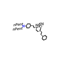 CCCCCN(CCCCC)c1ccc(C=CC2([N+](=O)[O-])C=CC(C=Cc3ccccc3)=CC2C#N)cc1